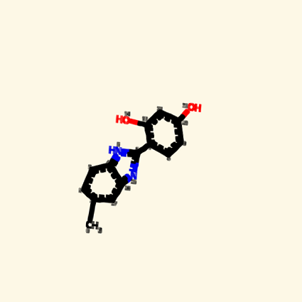 Cc1ccc2[nH]c(-c3ccc(O)cc3O)nc2c1